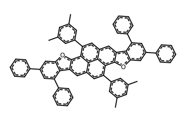 Cc1cc(C)cc(-c2cc3cc4c(oc5cc(-c6ccccc6)cc(-c6ccccc6)c54)c4c(-c5cc(C)cc(C)c5)cc5cc6c(oc7cc(-c8ccccc8)cc(-c8ccccc8)c76)c2c5c34)c1